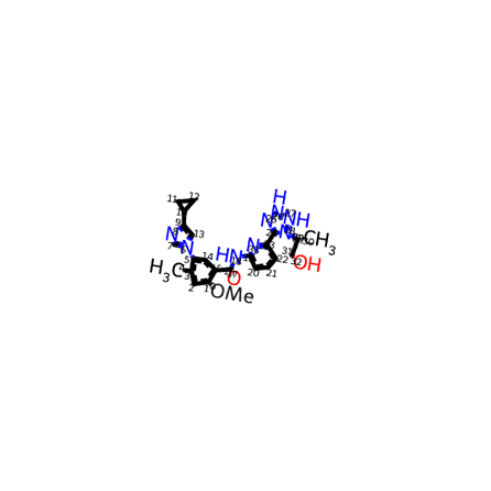 COc1cc(C)c(-n2cnc(C3CC3)c2)cc1C(=O)Nc1cccc(C2=NNNN2[C@H](C)CO)n1